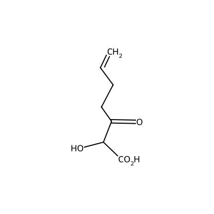 C=CCCC(=O)C(O)C(=O)O